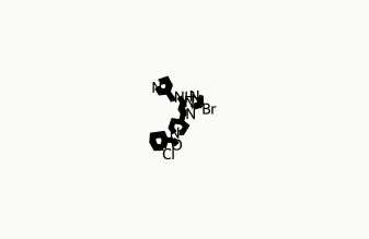 O=C(c1ccccc1Cl)N1CCC(c2cc(NCc3cccnc3)n3ncc(Br)c3n2)CC1